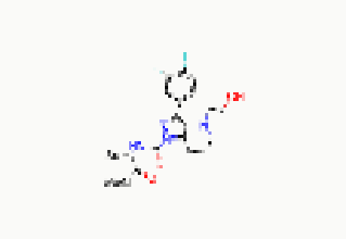 CNC(=O)[C@@H](NC(=O)n1nc(-c2ccc(F)c(F)c2)c2c1CCCN2CCO)C(C)(C)C